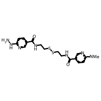 CNc1ccc(C(=O)NCCSSCCNC(=O)c2ccc(NN)nc2)cn1